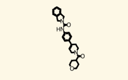 O=C(Nc1ccc(C2=CCN(C(=O)C3CCOCC3)CC2)cc1)N1Cc2ccccc2C1